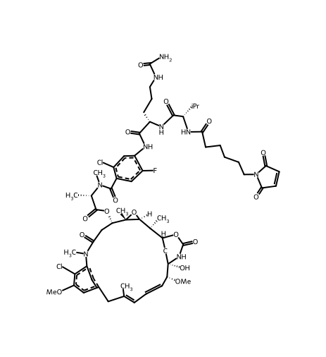 COc1cc2cc(c1Cl)N(C)C(=O)C[C@H](OC(=O)[C@H](C)N(C)C(=O)c1cc(F)c(NC(=O)[C@H](CCCNC(N)=O)NC(=O)[C@@H](NC(=O)CCCCCN3C(=O)C=CC3=O)C(C)C)cc1Cl)[C@]1(C)O[C@H]1[C@H](C)[C@@H]1C[C@@](O)(NC(=O)O1)[C@H](OC)/C=C/C=C(\C)C2